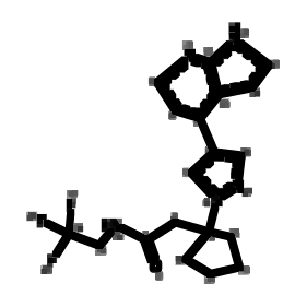 O=C(CC1(n2cc(-c3ccnc4[nH]ccc34)cn2)CCCC1)NCC(F)(F)F